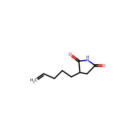 C=CCCCC1CC(=O)NC1=O